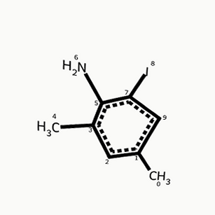 Cc1cc(C)c(N)c(I)c1